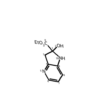 CCOC(=O)C1(O)Cc2ncccc2N1